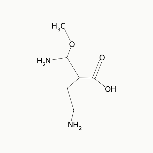 COC(N)C(CCN)C(=O)O